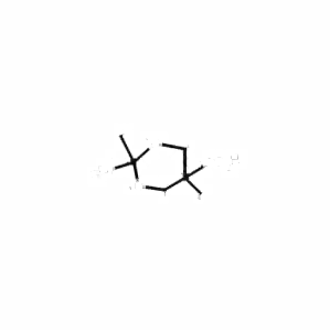 CCCCC1(C)OCC(C)(C(=O)O)CO1